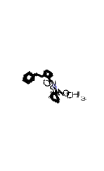 COCCn1/c(=N/C(=O)c2ccccc2CCc2ccccc2)sc2ccccc21